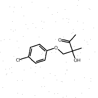 CC(=O)C(C)(O)COc1ccc(Cl)cc1